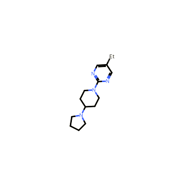 CCc1cnc(N2CCC(N3CCCC3)CC2)nc1